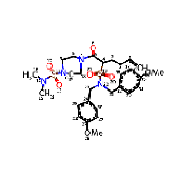 C=CCCC(C(=O)N1CCN(S(=O)(=O)N(C)C)CC1)S(=O)(=O)N(Cc1ccc(OC)cc1)Cc1ccc(OC)cc1